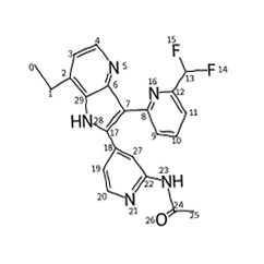 CCc1ccnc2c(-c3cccc(C(F)F)n3)c(-c3ccnc(NC(C)=O)c3)[nH]c12